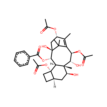 CC(=O)O[C@H]1C[C@@]2(O)[C@@H](OC(=O)c3ccccc3)[C@@H]3[C@]4(OC(C)=O)CC[C@@H]4C[C@H](O)[C@@]3(C)[C@@H](O)[C@H](OC(C)=O)C(=C1C)C2(C)C